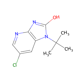 CC(C)(C)n1c(O)nc2ncc(Cl)cc21